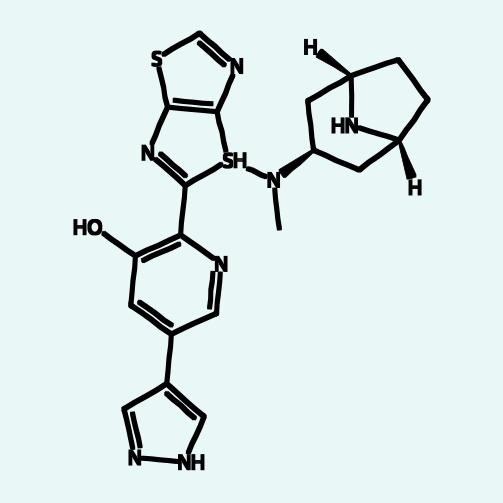 CN([C@@H]1C[C@H]2CC[C@@H](C1)N2)[SH]1C(c2ncc(-c3cn[nH]c3)cc2O)=Nc2scnc21